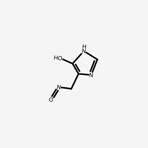 O=NCc1nc[nH]c1O